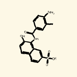 Cc1cc(C(=O)Nc2c(O)ccc3ccc(S(=O)(=O)O)cc23)ccc1N